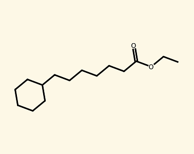 CCOC(=O)CCCCCCC1CCCCC1